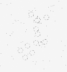 c1ccc(-c2nc(-c3ccccc3)nc(-c3ccc4cc(-c5cc(-c6cccc(C(c7ccccc7)(c7ccccc7)c7ccccc7)c6)cc6sc7ccccc7c56)ccc4c3)n2)cc1